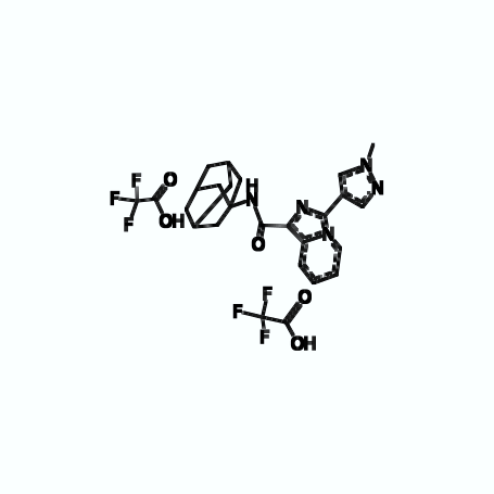 Cn1cc(-c2nc(C(=O)NC34CC5CC(CC(C5)C3)C4)c3ccccn23)cn1.O=C(O)C(F)(F)F.O=C(O)C(F)(F)F